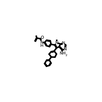 C=C(C)C(=O)Nc1ccc(-c2c(C3=CCC(c4ccccc4)CC3)c3c(N)ncnc3n2C)cc1